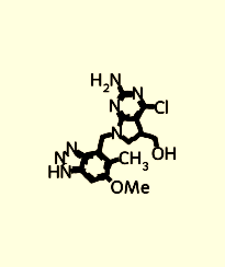 COc1cc2[nH]nnc2c(CN2CC(CO)c3c(Cl)nc(N)nc32)c1C